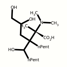 CCCCCC(O)C(CCCCC)(CC(O)CO)[C@@](C)(C(=O)O)N(C)C